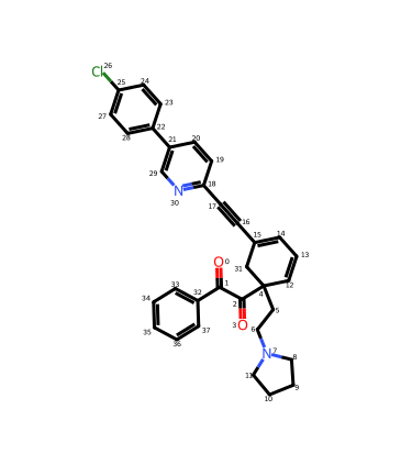 O=C(C(=O)C1(CCN2CCCC2)C=CC=C(C#Cc2ccc(-c3ccc(Cl)cc3)cn2)C1)c1ccccc1